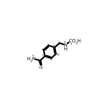 NC(=S)c1ccc(CNC(=O)O)cc1